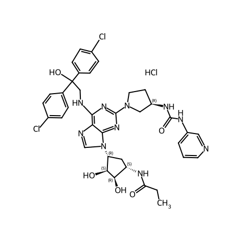 CCC(=O)N[C@H]1C[C@@H](n2cnc3c(NCC(O)(c4ccc(Cl)cc4)c4ccc(Cl)cc4)nc(N4CC[C@@H](NC(=O)Nc5cccnc5)C4)nc32)[C@H](O)[C@@H]1O.Cl